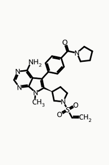 C=CS(=O)(=O)N1CC[C@H](c2c(-c3ccc(C(=O)N4CCCC4)cc3)c3c(N)ncnc3n2C)C1